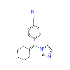 N#Cc1ccc(C(=C2CCCCC2)n2ccnc2)cc1